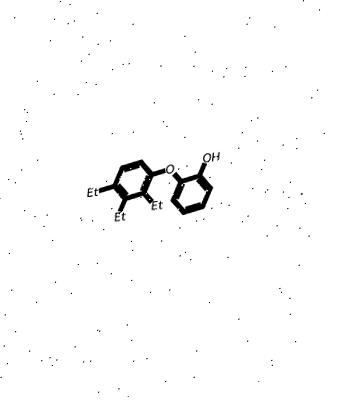 CCc1ccc(Oc2ccccc2O)c(CC)c1CC